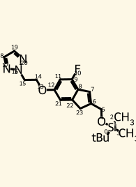 CC(C)(C)[Si](C)(C)OCC1=Cc2c(F)cc(OCCn3nccn3)cc2C1